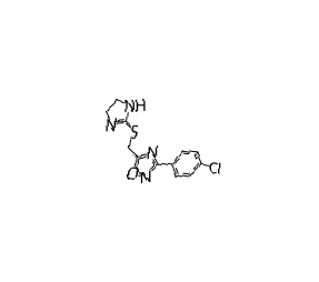 Clc1ccc(-c2noc(CSC3=NCCN3)n2)cc1